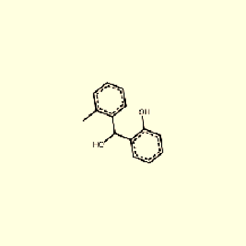 Cc1ccccc1C(O)c1ccccc1O